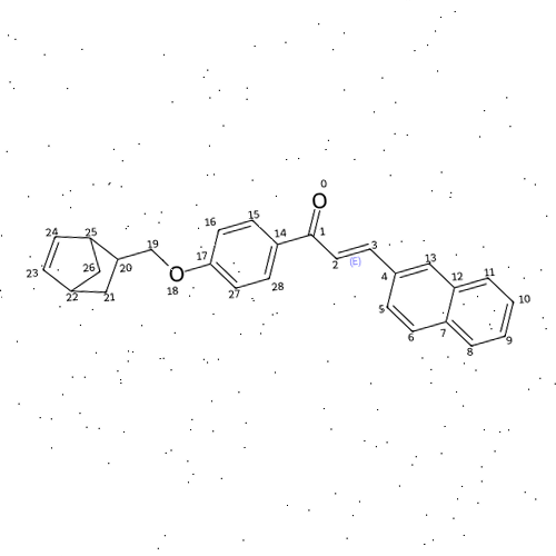 O=C(/C=C/c1ccc2ccccc2c1)c1ccc(OCC2CC3C=CC2C3)cc1